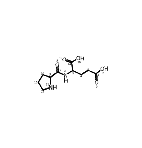 O=C(O)CCC(NC(=O)C1CCCN1)C(=O)O